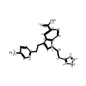 Cc1ccc(CCc2cn(CCc3nn[nH]n3)c3ccc(C(=O)O)cc23)nc1